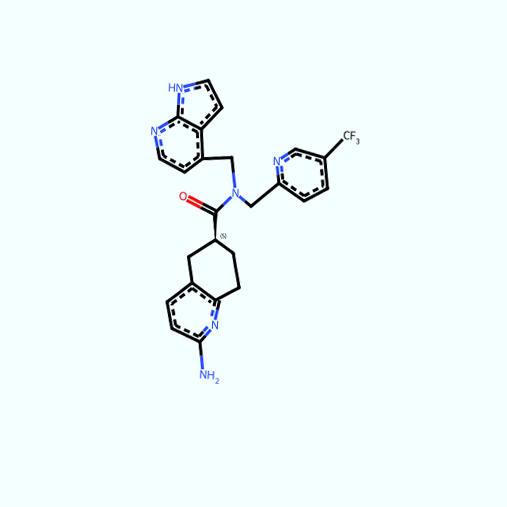 Nc1ccc2c(n1)CC[C@H](C(=O)N(Cc1ccc(C(F)(F)F)cn1)Cc1ccnc3[nH]ccc13)C2